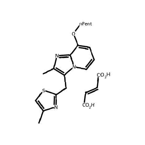 CCCCCOc1cccn2c(Cc3nc(C)cs3)c(C)nc12.O=C(O)C=CC(=O)O